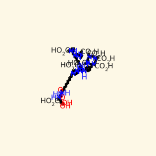 O=C(O)CN1CCN(CC(=O)O)CCN(CC(=O)O)C(Cc2ccc(Nc3nc(N[C@@H](CCCCN(Cc4nccn4CC(=O)O)Cc4nccn4CC(=O)O)C(=O)O)nc(N4CCN(CCCCCCCCCCC(=O)NNC(=O)N[C@@H](CCC(O)O)C(=O)O)CC4)n3)cc2)CN(CC(=O)O)CC1